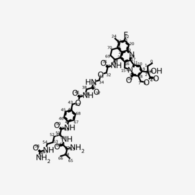 CC[C@@]1(O)C(=O)OCc2c1cc1n(c2=O)Cc2c-1nc1cc(F)c(C)c3c1c2[C@@H](NC(=O)COCNC(=O)CNC(=O)OCc1ccc(NC(=O)[C@H](CCCNC(N)=O)NC(=O)[C@@H](N)C(C)C)cc1)CC3